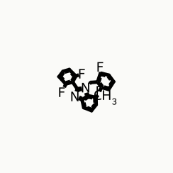 Cc1cccc2nc(-c3c(F)cccc3F)n(Cc3c(F)cccc3F)c12